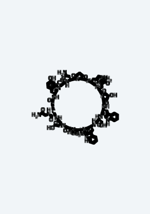 CCCC[C@H]1C(=O)N(C)[C@@H](CCCC)C(=O)N[C@@H](CCO)C(=O)N[C@H](C(=O)NCC(N)=O)CSCC(=O)N[C@@H](Cc2ccc(O)cc2)C(=O)N(C)[C@@H](C)C(=O)N[C@@H](CC(N)=O)C(=O)N2CCC[C@H]2C(=O)N[C@@H](Cc2c[nH]cn2)C(=O)N[C@@H](CCC(N)=O)C(=O)N2C[C@H](O)C[C@H]2C(=O)N[C@@H](Cc2c[nH]c3ccccc23)C(=O)N[C@@H](CO)C(=O)N[C@@H](Cc2c[nH]c3ccccc23)C(=O)N1C